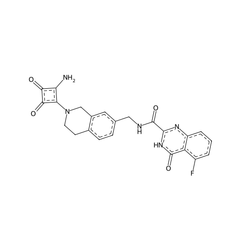 Nc1c(N2CCc3ccc(CNC(=O)c4nc5cccc(F)c5c(=O)[nH]4)cc3C2)c(=O)c1=O